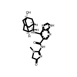 CN1CC(=O)N=C1NC(=O)c1cnc2[nH]cnc2c1N[C@H]1[C@@H]2CC3C[C@H]1C[C@@](O)(C3)C2